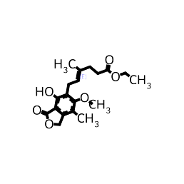 CCOC(=O)CC/C(C)=C/Cc1c(O)c2c(c(C)c1OC)COC2=O